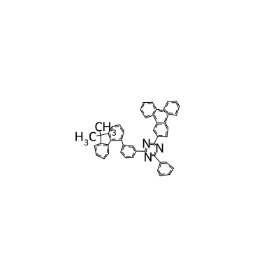 CC1(C)c2ccccc2-c2c(-c3cccc(-c4nc(-c5ccccc5)nc(-c5ccc6c7ccccc7c7ccccc7c6c5)n4)c3)cccc21